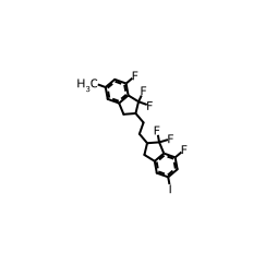 Cc1cc(F)c2c(c1)CC(CCC1Cc3cc(I)cc(F)c3C1(F)F)C2(F)F